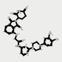 O=C1CCC(N2C(=O)c3cccc(OCC(=O)Nc4ccnc(N5CCN(c6ccc(Cl)c(C(F)(F)F)c6)CC5)n4)c3C2=O)C(=O)N1